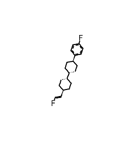 FC=C[C@H]1CC[C@H]([C@H]2CC[C@H](c3ccc(F)cc3)CC2)CC1